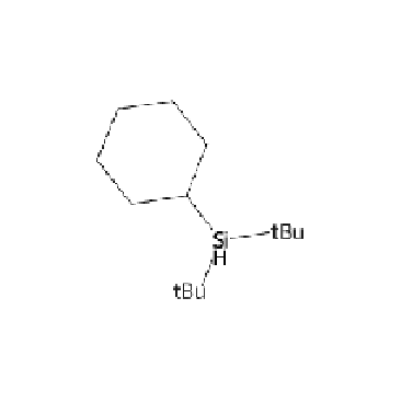 CC(C)(C)[SiH](C1CCCCC1)C(C)(C)C